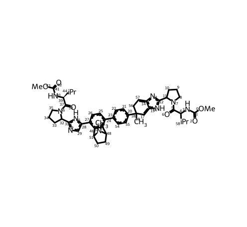 COC(=O)NC(C(=O)N1CCCC1c1nc2c([nH]1)=CC(C)(c1ccc(-c3ccc(-c4cnc(C5CCCN5C(=O)[C@@H](NC(=O)OC)C(C)C)[nH]4)c4c3C3CCC4N3C)cc1)CC=2)C(C)C